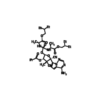 CCC(CC)COC(=O)[C@H](C)NP(=O)(N[C@@H](C)C(=O)OCC(CC)CC)OC1O[C@@](C#N)(c2ccc3c(N)ncnn23)[C@](C)(O)[C@@H]1OC(=O)C(C)C